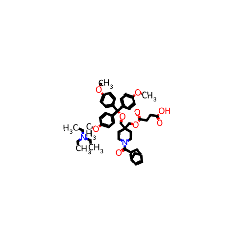 CCN(CC)CC.COc1ccc(C(OCC2(COC(=O)CCC(=O)O)CCN(C(=O)C3CC4C=CC3C4)CC2)(c2ccc(OC)cc2)c2ccc(OC)cc2)cc1